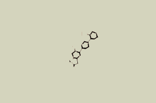 CN1C(=O)Cc2cc(-c3ccc(-c4ccccc4O)cc3)c(Cl)cc21